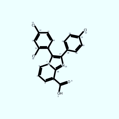 O=C(O)c1cccn2c(-c3ccc(Cl)cc3Cl)c(-c3ccc(Cl)cc3)nc12